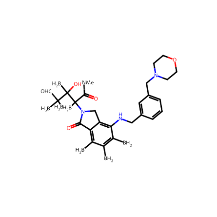 Bc1c(B)c(NCc2cccc(CN3CCOCC3)c2)c2c(c1B)C(=O)N(C(B)(C(=O)NC)C(B)(O)C(B)(B)C=O)C2